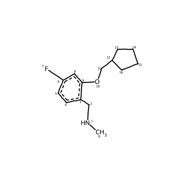 CNCc1ccc(F)cc1OCC1CCCC1